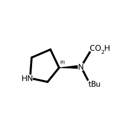 CC(C)(C)N(C(=O)O)[C@@H]1CCNC1